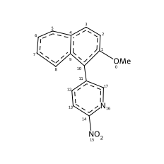 COc1ccc2ccccc2c1-c1ccc([N+](=O)[O-])nc1